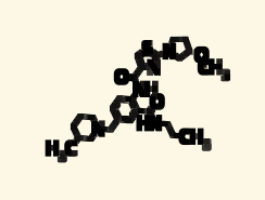 CCCNC(=O)c1cc(CN2CCCC(C)C2)ccc1NC(=O)c1csc(N2CC[C@H](OC)C2)n1